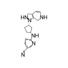 N#Cc1ccc(N[C@@H]2CC[C@H](N3NCC4=C3CNC=C4)C2)nc1